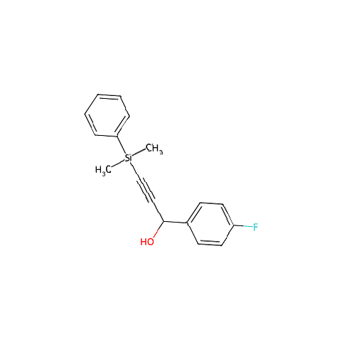 C[Si](C)(C#CC(O)c1ccc(F)cc1)c1ccccc1